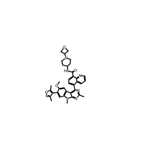 COc1cc2c3c(-c4ccc(C(=O)NC5CCN(C6COC6)CC5)c5ncccc45)nc(C)nc3n(C)c2cc1-c1c(C)noc1C